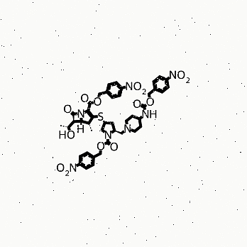 C[C@@H](O)[C@H]1C(=O)N2C(C(=O)OCc3ccc([N+](=O)[O-])cc3)=C(S[C@H]3C[C@@H](CN4CCC(NC(=O)OCc5ccc([N+](=O)[O-])cc5)CC4)N(C(=O)OCc4ccc([N+](=O)[O-])cc4)C3)[C@H](C)[C@H]12